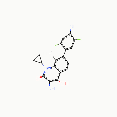 Cc1c(-c2cc(F)c(N)cc2F)ccc2c(O)c(N)c(=O)n(C3CC3)c12